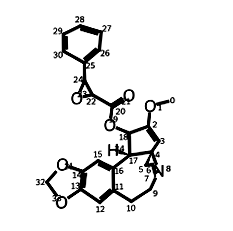 COC1=C[C@]23CCCN2CCc2cc4c(cc2[C@@H]3C1OC(=O)C1OC1c1ccccc1)OCO4